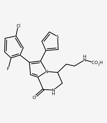 O=C(O)NCCC1CNC(=O)c2cc(-c3cc(Cl)ccc3F)c(-c3ccsc3)n21